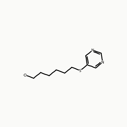 [O]CCCCCCSc1cncnc1